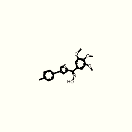 COc1cc(C(=NO)c2cc(-c3ccc(C)cc3)cs2)cc(OC)c1OC